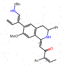 C=C/C(=C\NCCCC)c1cc2c(cc1OC)/C(=C/C(=O)/C(=C\C)C(C)=O)NC(C(C)C)C2